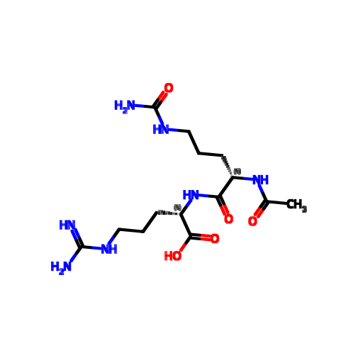 CC(=O)N[C@@H](CCCNC(N)=O)C(=O)N[C@@H](CCCNC(=N)N)C(=O)O